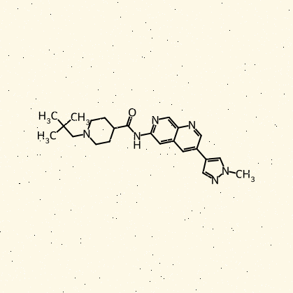 Cn1cc(-c2cnc3cnc(NC(=O)C4CCN(CC(C)(C)C)CC4)cc3c2)cn1